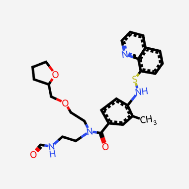 Cc1cc(C(=O)N(CCNC=O)CCOCC2CCCO2)ccc1NSc1cccc2cccnc12